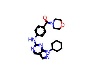 O=C(c1ccc(Nc2ncc3cnn(C4CCCCC4)c3n2)cc1)N1CCOCC1